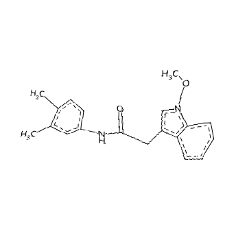 COn1cc(CC(=O)Nc2ccc(C)c(C)c2)c2ccccc21